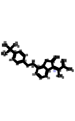 CC(=N)/C(C)=C1\C(=N)Sc2c(NCc3ccc(C(C)(C)O)nc3)ncnc21